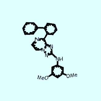 COc1cc(Nc2nc3c(-c4ccccc4-c4ccccc4)nccn3n2)cc(OC)c1